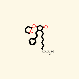 O=C(O)CCCCCCC1C(=O)CC(OC2CCCCO2)C1/C=C/c1ccccc1